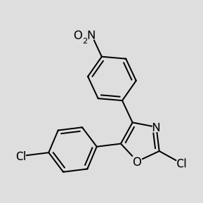 O=[N+]([O-])c1ccc(-c2nc(Cl)oc2-c2ccc(Cl)cc2)cc1